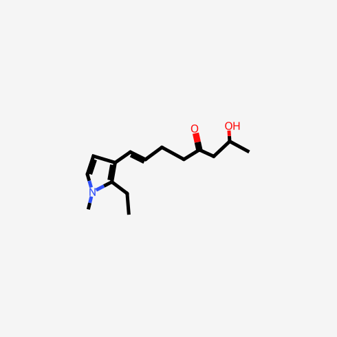 CCc1c(/C=C/CCC(=O)CC(C)O)ccn1C